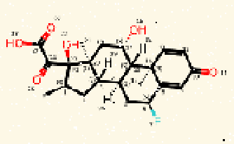 C[C@@H]1C[C@H]2[C@@H]3C[C@H](F)C4=CC(=O)C=C[C@]4(C)[C@H]3[C@@H](O)C[C@]2(C)[C@@]1(O)C(=O)C(=O)O